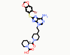 Nc1ncn(CCC2CCN(C(=O)[C@@H]3CCCCN3C(=O)O)CC2)c2nc(Sc3cc4c(cc3Br)OCO4)nc1-2